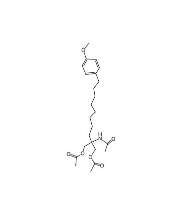 COc1ccc(CCCCCCCCC(COC(C)=O)(COC(C)=O)NC(C)=O)cc1